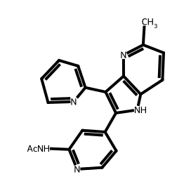 CC(=O)Nc1cc(-c2[nH]c3ccc(C)nc3c2-c2ccccn2)ccn1